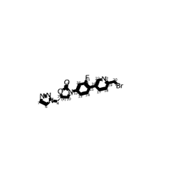 O=C1O[C@@H](Cn2ccnn2)CN1c1ccc(-c2ccc(CBr)nc2)c(F)c1